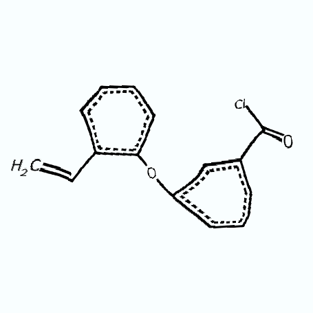 C=Cc1ccccc1Oc1cccc(C(=O)Cl)c1